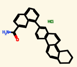 Cl.NC(=O)c1ccc2cccc(-c3ccc4c(ccc5c6c(ccc54)CCCC6)c3)c2c1